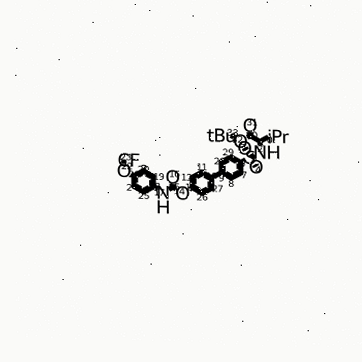 CC(C)C(NS(=O)(=O)c1ccc(-c2ccc(OC(=O)Nc3ccc(OC(F)(F)F)cc3)cc2)cc1)C(=O)OC(C)(C)C